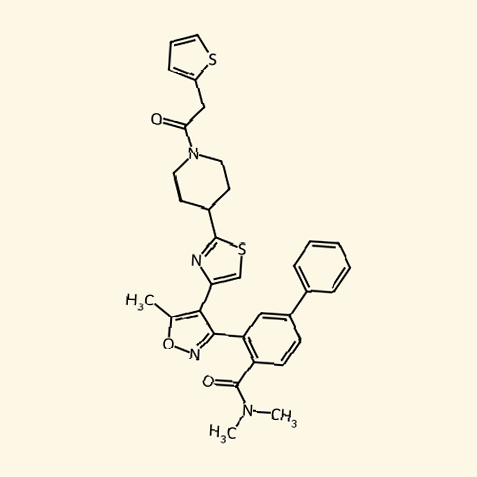 Cc1onc(-c2cc(-c3ccccc3)ccc2C(=O)N(C)C)c1-c1csc(C2CCN(C(=O)Cc3cccs3)CC2)n1